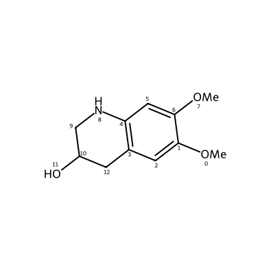 COc1cc2c(cc1OC)NCC(O)C2